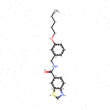 CCCCCOc1cccc(CNC(=O)c2ccc3ncsc3c2)c1